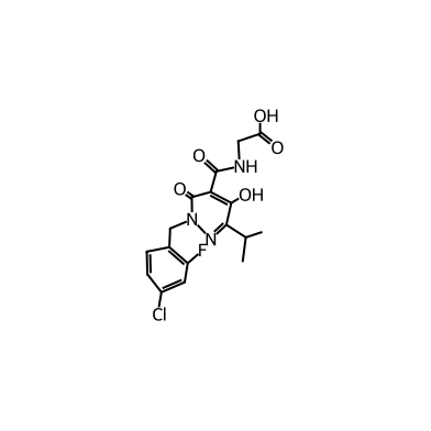 CC(C)c1nn(Cc2ccc(Cl)cc2F)c(=O)c(C(=O)NCC(=O)O)c1O